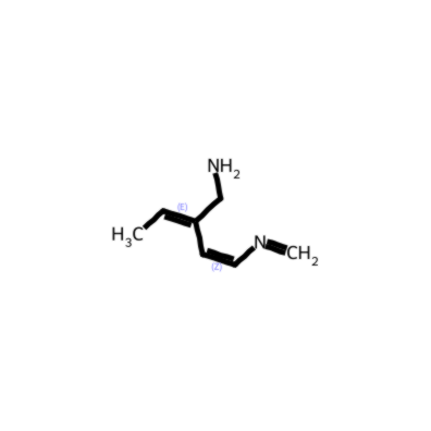 C=N/C=C\C(=C/C)CN